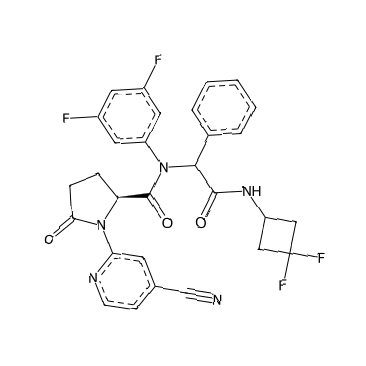 N#Cc1ccnc(N2C(=O)CC[C@H]2C(=O)N(c2cc(F)cc(F)c2)C(C(=O)NC2CC(F)(F)C2)c2ccccc2)c1